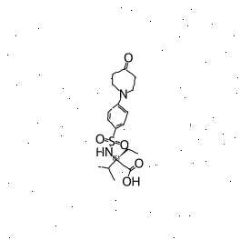 CC[C@@](NS(=O)(=O)c1ccc(N2CCC(=O)CC2)cc1)(C(=O)O)C(C)C